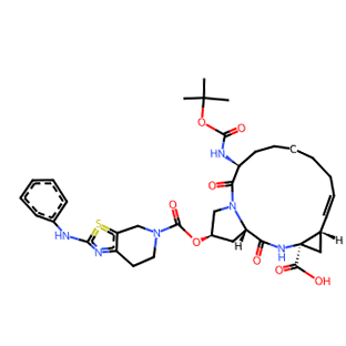 CC(C)(C)OC(=O)N[C@H]1CCCCCC=C[C@@H]2C[C@@]2(C(=O)O)NC(=O)[C@@H]2C[C@@H](OC(=O)N3CCc4nc(Nc5ccccc5)sc4C3)CN2C1=O